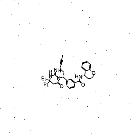 CC#CCC[C@H](c1cccc(C(=O)N[C@H]2CCOc3ccccc32)c1)N1C(=N)NC(CC)(CC)CC1=O